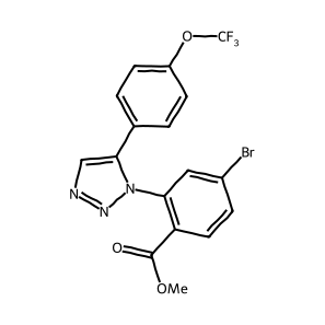 COC(=O)c1ccc(Br)cc1-n1nncc1-c1ccc(OC(F)(F)F)cc1